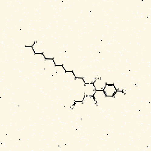 CC(C)CCCCCCCCCCCC(O)C(C(=O)OCC=O)c1ccc(Br)cc1